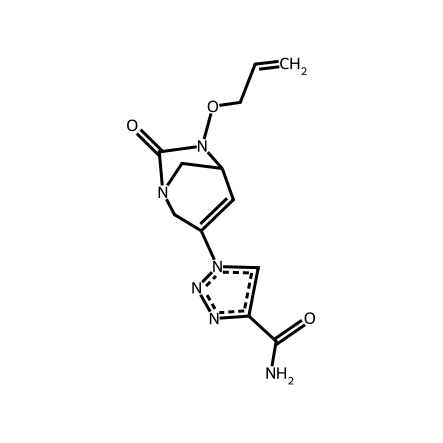 C=CCON1C(=O)N2CC(n3cc(C(N)=O)nn3)=CC1C2